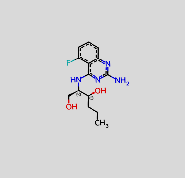 CCC[C@H](O)[C@@H](CO)Nc1nc(N)nc2cccc(F)c12